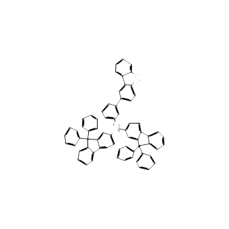 c1ccc(C2(c3ccccc3)c3ccccc3-c3ccc(N(c4cccc(-c5ccc6sc7ccccc7c6c5)c4)c4ccc5c(c4)C(c4ccccc4)(c4ccccc4)c4ccccc4-5)cc32)cc1